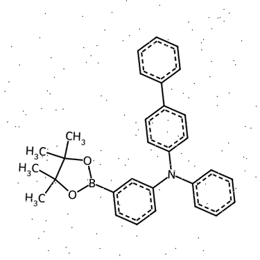 CC1(C)OB(c2cccc(N(c3ccccc3)c3ccc(-c4ccccc4)cc3)c2)OC1(C)C